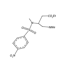 CCOC(=O)CC(CNC)N(C)S(=O)(=O)c1ccc([N+](=O)[O-])cc1